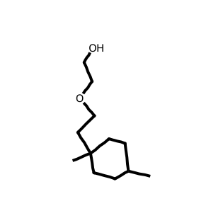 CC1CCC(C)(CCOCCO)CC1